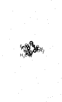 Cc1ccc(Nc2nc(-c3ccc4c(c3)N(C3CC(N5CCCCC5)C3)C(=O)C4(C)C)cc3ncn(C(C)C)c23)cc1C(=O)NCC(F)F